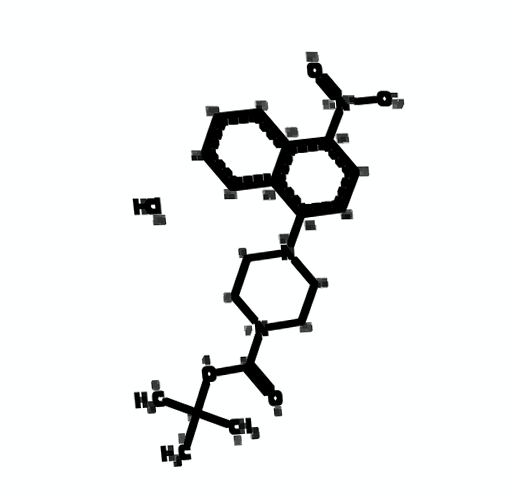 CC(C)(C)OC(=O)N1CCN(c2ccc([N+](=O)[O-])c3ccccc23)CC1.Cl